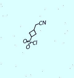 N#CCC1CC(S(=O)(=O)Cl)C1